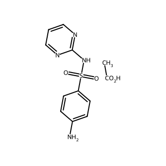 CC(=O)O.Nc1ccc(S(=O)(=O)Nc2ncccn2)cc1